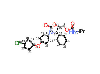 CC(C)NC(=O)OC[C@@H]1OC(=O)N(c2ccc(Oc3ccc(Cl)cc3)cc2)[C@H]1c1ccccc1